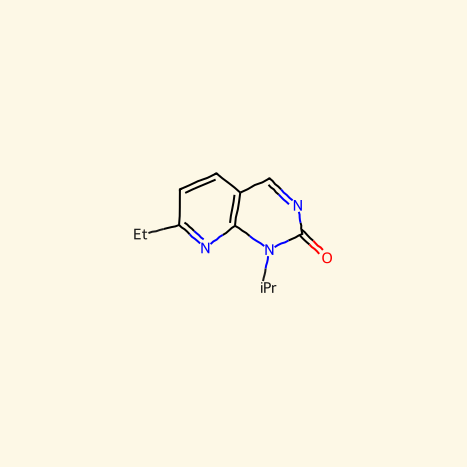 CCc1ccc2cnc(=O)n(C(C)C)c2n1